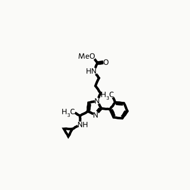 COC(=O)NCCCn1cc(C(C)NC2CC2)nc1-c1ccccc1C